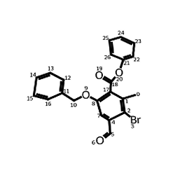 Cc1c(Br)c(C=O)cc(OCc2ccccc2)c1C(=O)Oc1ccccc1